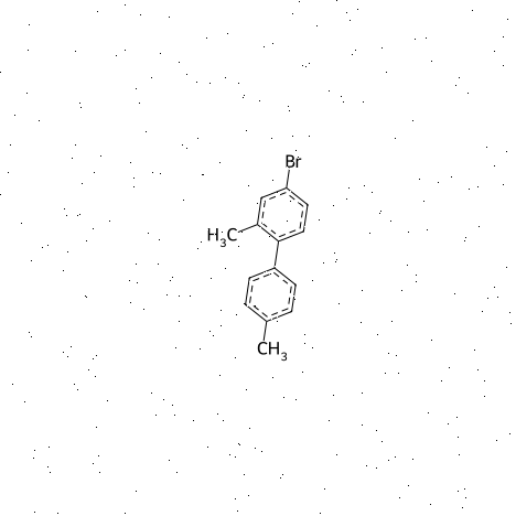 Cc1ccc(-c2ccc(Br)cc2C)cc1